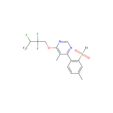 CCS(=O)(=O)c1cc(C)ccc1-c1ncnc(OCC(F)(F)C(F)C(F)(F)F)c1C